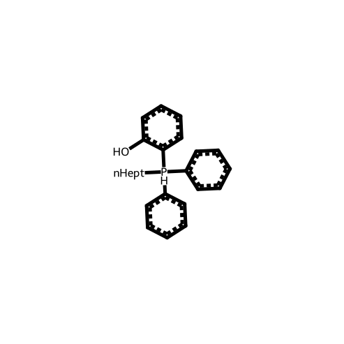 CCCCCCC[PH](c1ccccc1)(c1ccccc1)c1ccccc1O